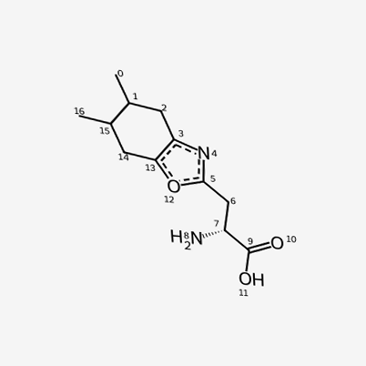 CC1Cc2nc(C[C@@H](N)C(=O)O)oc2CC1C